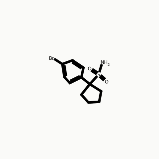 NS(=O)(=O)C1(c2ccc(Br)cc2)CCCC1